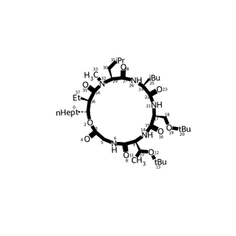 CCCCCCC[C@H]1OC(=O)CNC(=O)[C@H](C(C)OC(C)(C)C)NC(=O)[C@H](COC(C)(C)C)NC(=O)[C@H](C(C)CC)NC(=O)[C@H](CC(C)C)N(C)C(=O)[C@@H]1CC